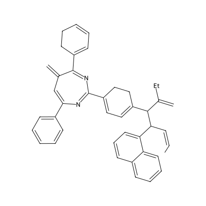 C=C1C=C(c2ccccc2)N=C(C2=CC=C(C(C(=C)CC)C(/C=C\C)c3cccc4ccccc34)CC2)N=C1C1=CC=CCC1